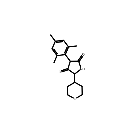 Cc1cc(C)c(C2C(=O)NC(C3CCOCC3)C2=O)c(C)c1